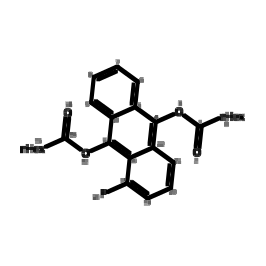 CCCCCCC(=O)Oc1c2ccccc2c(OC(=O)CCCCCC)c2c(F)cccc12